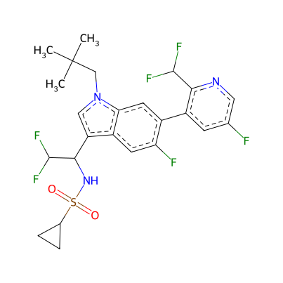 CC(C)(C)Cn1cc(C(NS(=O)(=O)C2CC2)C(F)F)c2cc(F)c(-c3cc(F)cnc3C(F)F)cc21